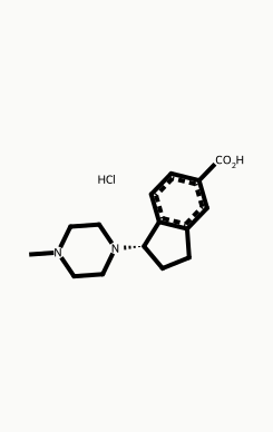 CN1CCN([C@H]2CCc3cc(C(=O)O)ccc32)CC1.Cl